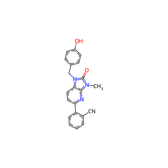 Cn1c(=O)n(Cc2ccc(O)cc2)c2ccc(-c3ccccc3C#N)nc21